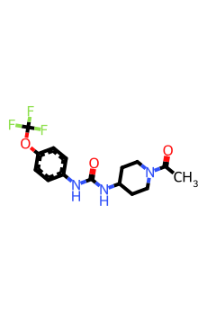 CC(=O)N1CCC(NC(=O)Nc2ccc(OC(F)(F)F)cc2)CC1